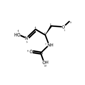 COC[C@H](C=NO)NC(=O)O